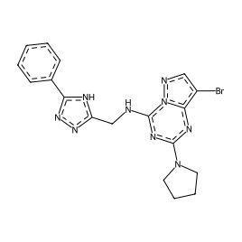 Brc1cnn2c(NCc3nnc(-c4ccccc4)[nH]3)nc(N3CCCC3)nc12